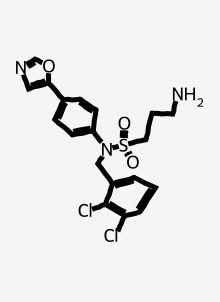 NCCCS(=O)(=O)N(Cc1cccc(Cl)c1Cl)c1ccc(-c2cnco2)cc1